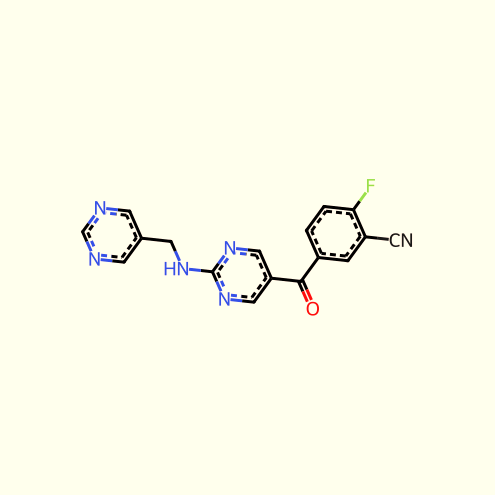 N#Cc1cc(C(=O)c2cnc(NCc3cncnc3)nc2)ccc1F